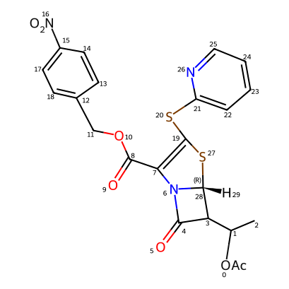 CC(=O)OC(C)C1C(=O)N2C(C(=O)OCc3ccc([N+](=O)[O-])cc3)=C(Sc3ccccn3)S[C@H]12